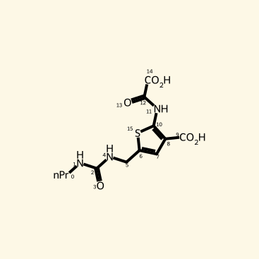 CCCNC(=O)NCc1cc(C(=O)O)c(NC(=O)C(=O)O)s1